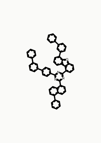 c1ccc(-c2cccc(-c3ccc(-c4nc(-c5cccc6c(-c7ccccc7)cccc56)nc(-c5cccc6oc7c(-c8cccc(-c9ccccc9)c8)cccc7c56)n4)cc3)c2)cc1